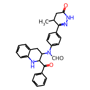 CC1CC(=O)NN=C1c1ccc(N(C=O)C2Cc3ccccc3NC2C(=O)c2ccccc2)cc1